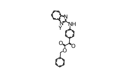 O=C(OCc1ccccc1)C(=O)c1ccc(Nc2nc3ccccc3[n]2[Y])cc1